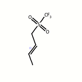 C/C=C/CS(=O)(=O)C(F)(F)F